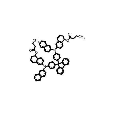 CCCC(=O)OC1CC=Cc2cc(N(c3ccc(C4(c5ccc(N(c6ccc7c(c6)C=CCC7OC(=O)CCC)c6ccc7ccccc7c6)cc5)c5ccccc5-c5ccccc54)cc3)c3ccc4ccccc4c3)ccc21